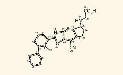 Cc1c(-c2ccccc2)cccc1-c1nc2cc3c(c(C#N)c2o1)CCC3NCC(=O)O